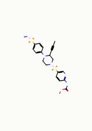 CC#CC1CN(S(=O)(=O)c2ccc(NC(=O)OC(C)(C)C)nc2)CCN1c1ccc(S(=O)(=O)NCC)cc1